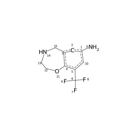 Nc1cc2c(c(C(F)(F)F)c1)OCCNC2